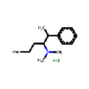 CCCCCCCCCCCC(C(C)c1ccccc1)N(C)C.Cl